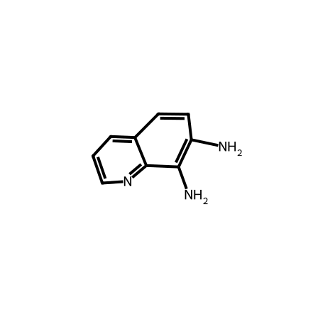 Nc1ccc2cccnc2c1N